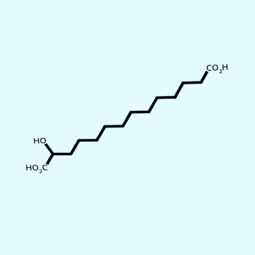 O=C(O)CCCCCCCCCCCC(O)C(=O)O